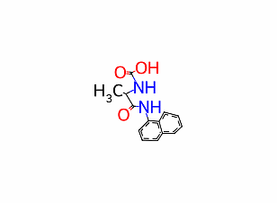 CC(NC(=O)O)C(=O)Nc1cccc2ccccc12